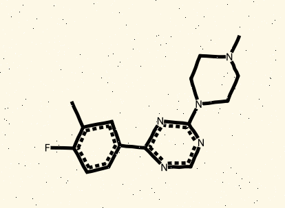 Cc1cc(-c2ncnc(N3CCN(C)CC3)n2)ccc1F